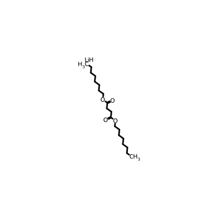 CCCCCCCCOC(=O)CCC(=O)OCCCCCCCC.[LiH]